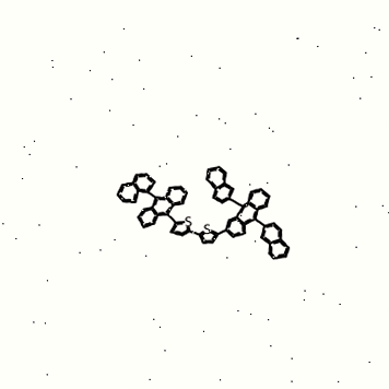 c1ccc2cc(-c3c4ccccc4c(-c4ccc5ccccc5c4)c4cc(-c5ccc(-c6ccc(-c7c8ccccc8c(-c8cccc9ccccc89)c8ccccc78)s6)s5)ccc34)ccc2c1